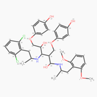 COc1cccc(OC)c1CC(C)NC(O)C(COc1ccc(O)cc1)C(NC(C)Cc1c(Cl)cccc1Cl)C(O)COc1ccc(O)cc1